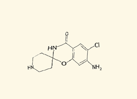 Nc1cc2c(cc1Cl)C(=O)NC1(CCNCC1)O2